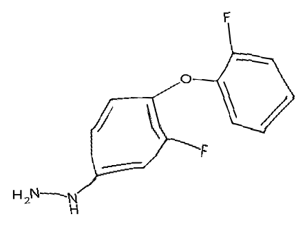 NNc1ccc(Oc2ccccc2F)c(F)c1